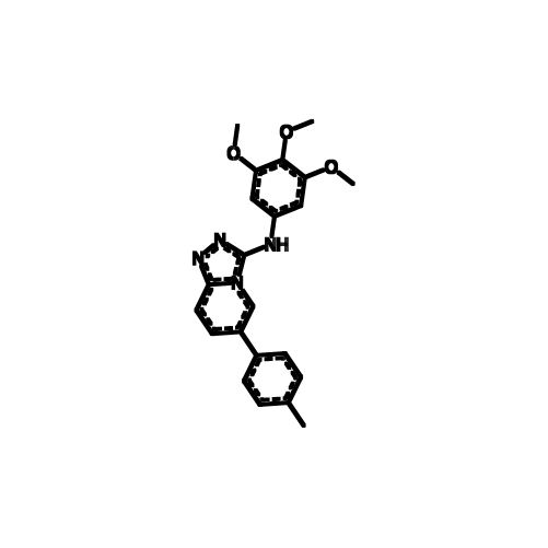 COc1cc(Nc2nnc3ccc(-c4ccc(C)cc4)cn23)cc(OC)c1OC